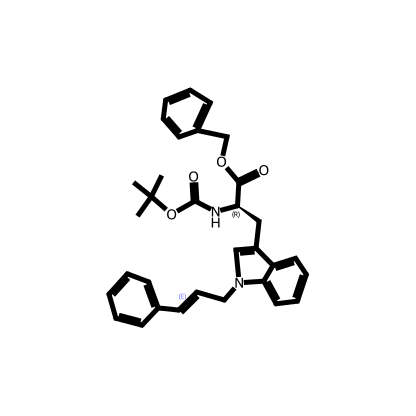 CC(C)(C)OC(=O)N[C@H](Cc1cn(C/C=C/c2ccccc2)c2ccccc12)C(=O)OCc1ccccc1